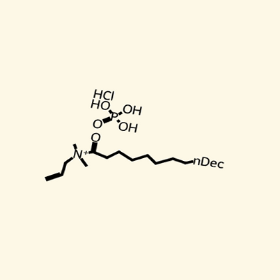 C=CC[N+](C)(C)C(=O)CCCCCCCCCCCCCCCCC.Cl.O=P(O)(O)O